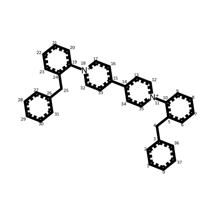 c1ccc(Cc2ccccc2-[n+]2ccc(-c3cc[n+](-c4ccccc4Cc4ccccc4)cc3)cc2)cc1